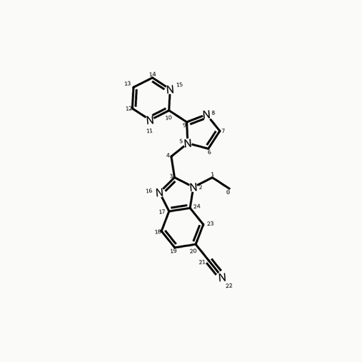 CCn1c(Cn2ccnc2-c2ncccn2)nc2ccc(C#N)cc21